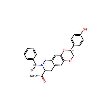 CC[C@@H](c1ccccc1)N1Cc2cc3c(cc2CC1C(=O)OC)OC[C@H](c1ccc(O)cc1)O3